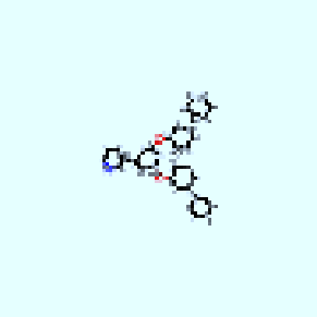 c1ccc(-c2ccc3c(c2)Oc2cc(-c4cccnc4)cc4c2B3c2ccc(-c3ccccc3)cc2O4)cc1